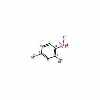 Fc1ccc(PI)c(F)c1